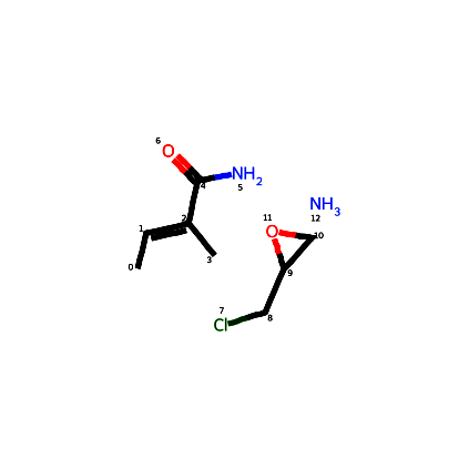 C/C=C(\C)C(N)=O.ClCC1CO1.N